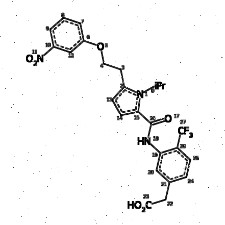 CC(C)n1c(CCOc2cccc([N+](=O)[O-])c2)ccc1C(=O)Nc1cc(CC(=O)O)ccc1C(F)(F)F